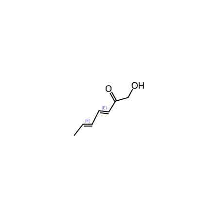 C/C=C/C=C/C(=O)CO